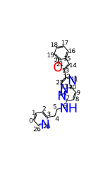 c1ccc(CCNc2ccc3nc(-c4cc5ccccc5o4)cn3n2)nc1